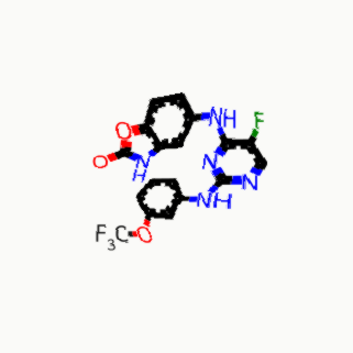 O=c1[nH]c2cc(Nc3nc(Nc4cccc(OC(F)(F)F)c4)ncc3F)ccc2o1